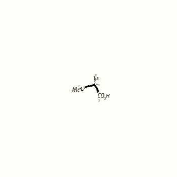 CC[C@@H](OC)C(=O)O